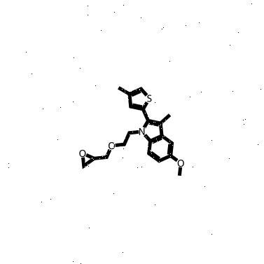 COc1ccc2c(c1)c(C)c(-c1cc(C)cs1)n2CCOCC1CO1